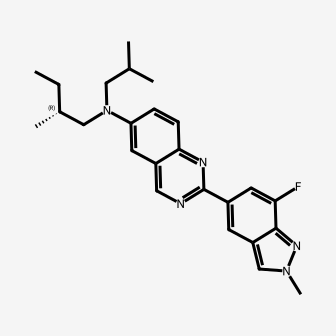 CC[C@@H](C)CN(CC(C)C)c1ccc2nc(-c3cc(F)c4nn(C)cc4c3)ncc2c1